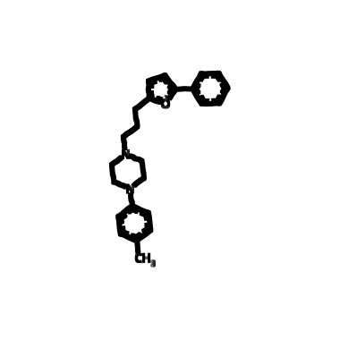 Cc1ccc(N2CCN(CCCc3ccc(-c4ccccc4)o3)CC2)cc1